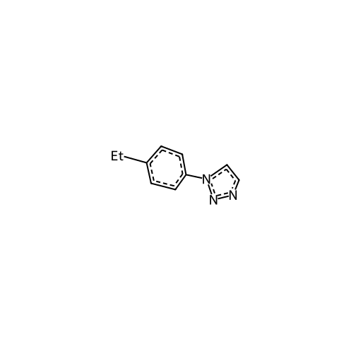 CCc1ccc(-n2ccnn2)cc1